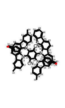 Cc1ccc2c(c1)c1cc(C)ccc1n2-c1c(C#N)c(-n2c3ccc(C)cc3c3cc(C)ccc32)c(-n2c3ccc(C)cc3c3ccc4c5ccccc5sc4c32)c(C#N)c1-n1c2ccc(C)cc2c2cc(C)ccc21